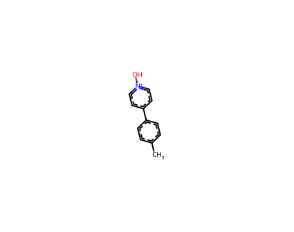 Cc1ccc(-c2cc[n+](O)cc2)cc1